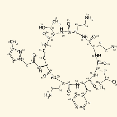 Cc1ccn(CC(=O)N[C@H]2CCNC(=O)[C@H]([C@@H](C)O)NC(=O)[C@H](CCN)NC(=O)[C@H](CCN)NC(=O)[C@H](CC(C)C)NC(=O)[C@@H](Cc3ccccc3)NC(=O)[C@H](CCN)NC2=O)n1